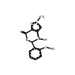 CCCCOc1ccccc1C1[N]C(=S)c2nn(C)cc2N1CCC